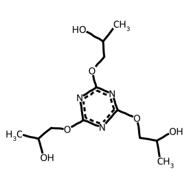 CC(O)COc1nc(OCC(C)O)nc(OCC(C)O)n1